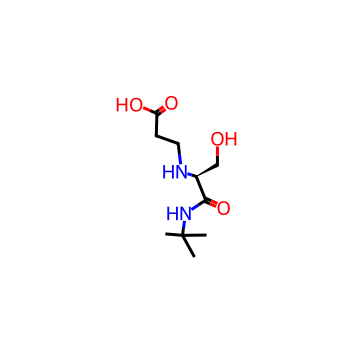 CC(C)(C)NC(=O)[C@H](CO)NCCC(=O)O